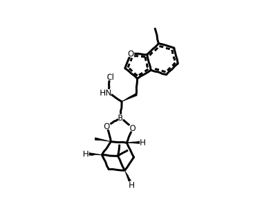 Cc1cccc2c(C[C@H](NCl)B3O[C@@H]4C[C@@H]5C[C@@H](C5(C)C)[C@]4(C)O3)coc12